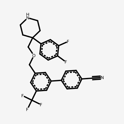 N#Cc1ccc(-c2cc(COCC3(c4ccc(F)c(F)c4)CCNCC3)cc(C(F)(F)F)c2)cc1